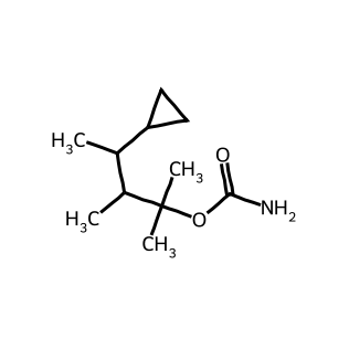 CC(C1CC1)C(C)C(C)(C)OC(N)=O